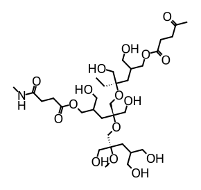 CC[C@](CO)(CC(CO)COC(=O)CCC(C)=O)OC[C@](CO)(CC(CO)COC(=O)CCC(=O)NC)OC[C@](CO)(CC(CO)CO)OC